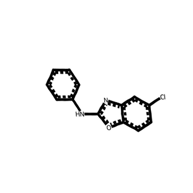 Clc1ccc2oc(Nc3ccccc3)nc2c1